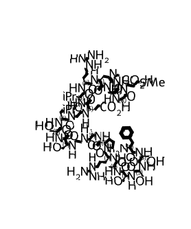 CSCC[C@H](NC(=O)[C@H](C)NC(=O)CNC(=O)[C@H](Cc1c[nH]cn1)NC(=O)[C@H](CCCNC(=N)N)NC(=O)[C@@H](NC(=O)[C@H](CCC(=O)O)NC(=O)CNC(=O)[C@H](CC(C)C)NC(=O)[C@H](CO)NC(=O)[C@H](CO)NC(=O)CNC(=O)[C@H](C)NC(=O)[C@@H]1CCCN1C(=O)[C@H](CCCNC(=N)N)NC(=O)[C@H](C)NC(=O)[C@H](CO)NC(=O)[C@H](CO)NC(=O)[C@H](CO)NC(=O)[C@@H](N)Cc1ccccc1)C(C)C)C(=O)O